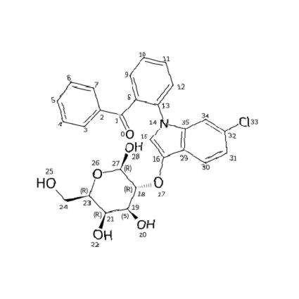 O=C(c1ccccc1)c1ccccc1-n1cc(O[C@@H]2[C@@H](O)[C@@H](O)[C@@H](CO)O[C@H]2O)c2ccc(Cl)cc21